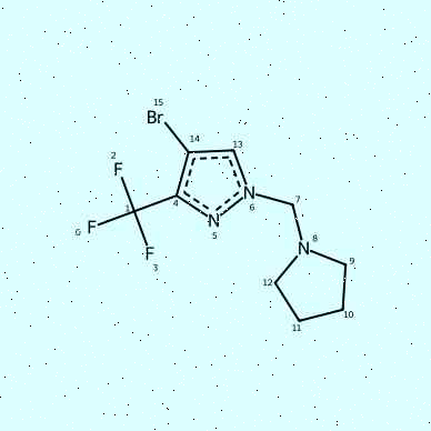 FC(F)(F)c1nn(CN2CCCC2)cc1Br